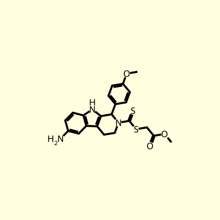 COC(=O)CSC(=S)N1CCc2c([nH]c3ccc(N)cc23)C1c1ccc(OC)cc1